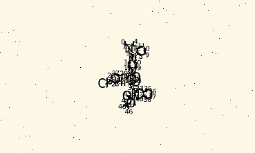 CCN(CC)CC(c1ccccc1)N1CCN(C(=O)[C@@H](Cc2ccc(Cl)cc2)NC(=O)C[C@@H]2Cc3ccccc3CN2C(=O)OC(C)(C)C)CC1